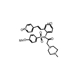 COc1ccc(S(=O)(=O)N(C(=O)CN2CCN(C)CC2)c2ccccc2/C=C/c2cc[n+]([O-])cc2)cc1.Cl